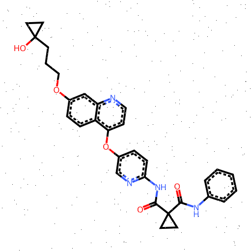 O=C(Nc1ccccc1)C1(C(=O)Nc2ccc(Oc3ccnc4cc(OCCCC5(O)CC5)ccc34)cn2)CC1